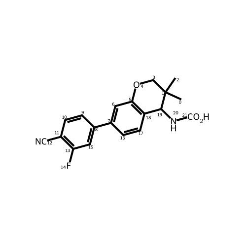 CC1(C)COc2cc(-c3ccc(C#N)c(F)c3)ccc2C1NC(=O)O